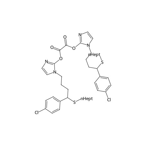 CCCCCCCSC(CCCn1ccnc1OC(=O)C(=O)Oc1nccn1CCCC(SCCCCCCC)c1ccc(Cl)cc1)c1ccc(Cl)cc1